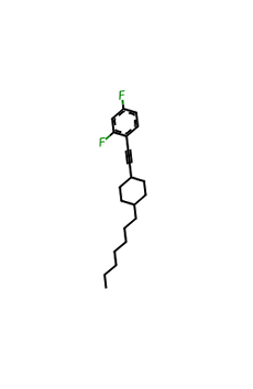 CCCCCCCC1CCC(C#Cc2ccc(F)cc2F)CC1